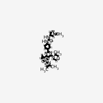 Cc1nc(S(=O)(=O)C2(c3cc(N4CCOC[C@@H]4C)nc(-c4ccc(NC(=O)Nc5cnn(C)c5)cc4)n3)CC2)sc1C